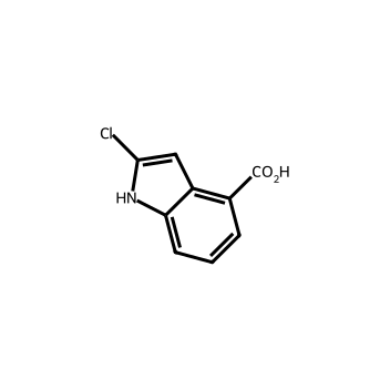 O=C(O)c1cccc2[nH]c(Cl)cc12